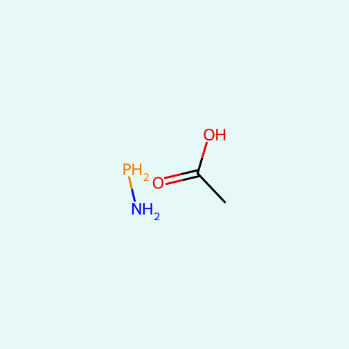 CC(=O)O.NP